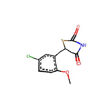 COc1ccc(Cl)cc1C1SC(=O)NC1=O